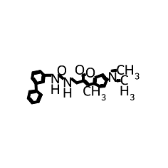 CCN(CC)c1ccc2c(C)c(CCNC(=O)NCc3cccc(-c4ccccc4)c3)c(=O)oc2c1